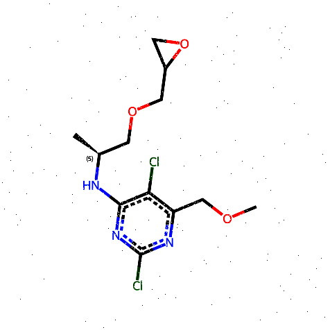 COCc1nc(Cl)nc(N[C@@H](C)COCC2CO2)c1Cl